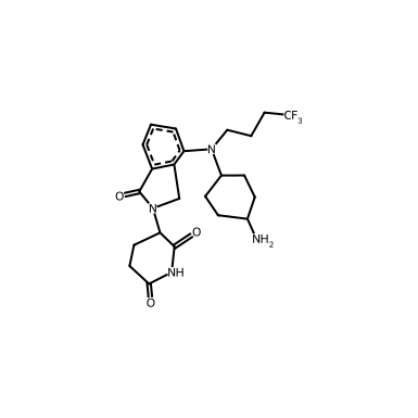 NC1CCC(N(CCCC(F)(F)F)c2cccc3c2CN(C2CCC(=O)NC2=O)C3=O)CC1